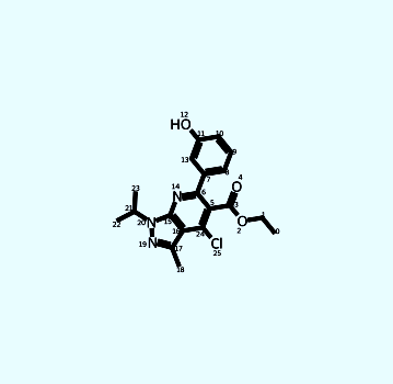 CCOC(=O)c1c(-c2cccc(O)c2)nc2c(c(C)nn2C(C)C)c1Cl